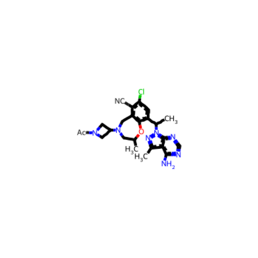 CC(=O)N1CC(N2Cc3c(C#N)c(Cl)cc(C(C)n4nc(C)c5c(N)ncnc54)c3OC(C)C2)C1